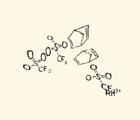 C1=CC2C=CC1C2.C1=CC2C=CC1C2.O=S(=O)([O-])C(F)(F)F.O=S(=O)([O-])C(F)(F)F.O=S(=O)([O-])C(F)(F)F.[Rh+3]